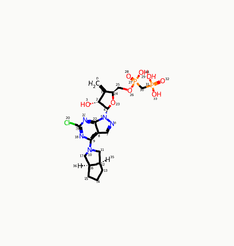 C=C1[C@@H](O)[C@@H](n2ncc3c(N4C[C@H]5CCC[C@H]5C4)nc(Cl)nc32)O[C@@H]1COP(=O)(O)CP(=O)(O)O